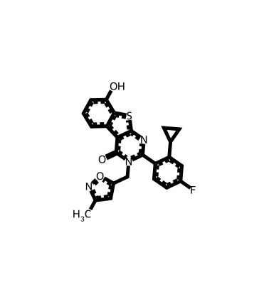 Cc1cc(Cn2c(-c3ccc(F)cc3C3CC3)nc3sc4c(O)cccc4c3c2=O)on1